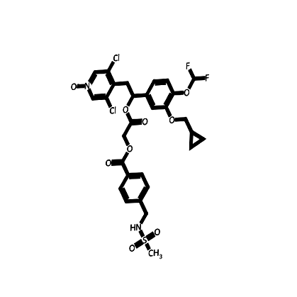 CS(=O)(=O)NCc1ccc(C(=O)OCC(=O)OC(Cc2c(Cl)c[n+]([O-])cc2Cl)c2ccc(OC(F)F)c(OCC3CC3)c2)cc1